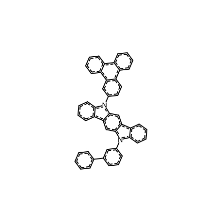 c1ccc(-c2cccc(-n3c4ccccc4c4cc5c(cc43)c3ccccc3n5-c3ccc4c5ccccc5c5ccccc5c4c3)c2)cc1